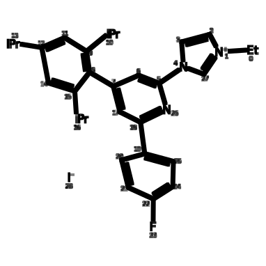 CC[n+]1ccn(-c2cc(-c3c(C(C)C)cc(C(C)C)cc3C(C)C)cc(-c3ccc(F)cc3)n2)c1.[I-]